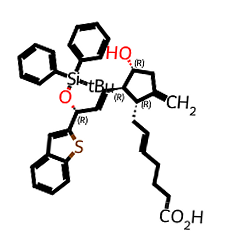 C=C1C[C@@H](O)[C@H](C=C[C@@H](O[Si](c2ccccc2)(c2ccccc2)C(C)(C)C)c2cc3ccccc3s2)[C@H]1CC=CCCCC(=O)O